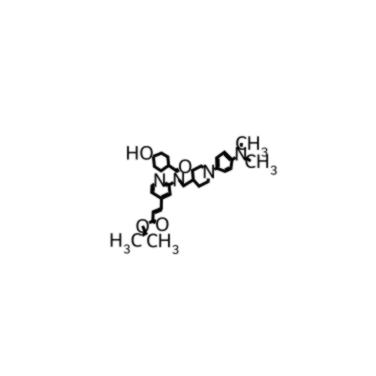 CC(C)OC(=O)/C=C/c1ccnc(N(CC2CCN(c3ccc(N(C)C)cc3)CC2)C(=O)C2CCC(O)CC2)c1